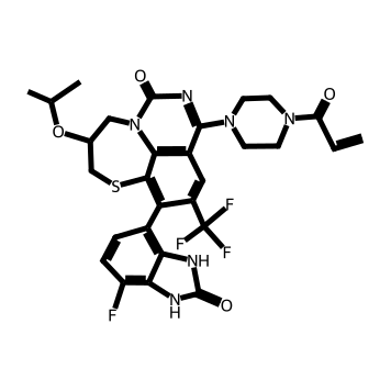 C=CC(=O)N1CCN(c2nc(=O)n3c4c(c(-c5ccc(F)c6[nH]c(=O)[nH]c56)c(C(F)(F)F)cc24)SCC(OC(C)C)C3)CC1